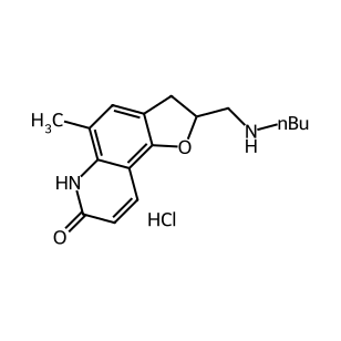 CCCCNCC1Cc2cc(C)c3[nH]c(=O)ccc3c2O1.Cl